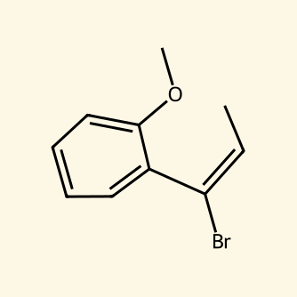 C/C=C(/Br)c1ccccc1OC